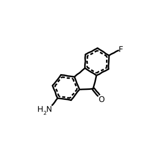 Nc1ccc2c(c1)C(=O)c1cc(F)ccc1-2